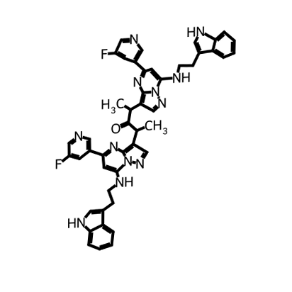 CC(C(=O)C(C)c1cnn2c(NCCc3c[nH]c4ccccc34)cc(-c3cncc(F)c3)nc12)c1cnn2c(NCCc3c[nH]c4ccccc34)cc(-c3cncc(F)c3)nc12